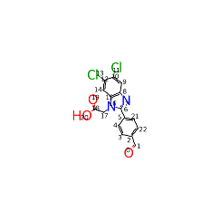 O=Cc1ccc(-c2nc3cc(Cl)c(Cl)cc3n2CC(=O)O)cc1